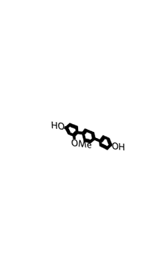 COc1cc(O)ccc1-c1ccc(-c2ccc(O)cc2)cc1